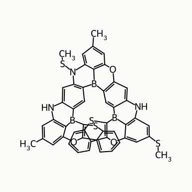 CSc1cc2c3c(c1)Oc1c(sc4ccccc14)B3c1cc3c(cc1N2)Oc1cc(C)cc2c1B3c1cc3c(cc1N2SC)Nc1cc(C)cc2c1B3c1sc3ccccc3c1O2